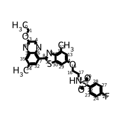 CCOc1cnc2c(-c3nc4c(C)cc(OCCNS(=O)(=O)c5ccc(F)cc5)cc4s3)cc(C)cc2n1